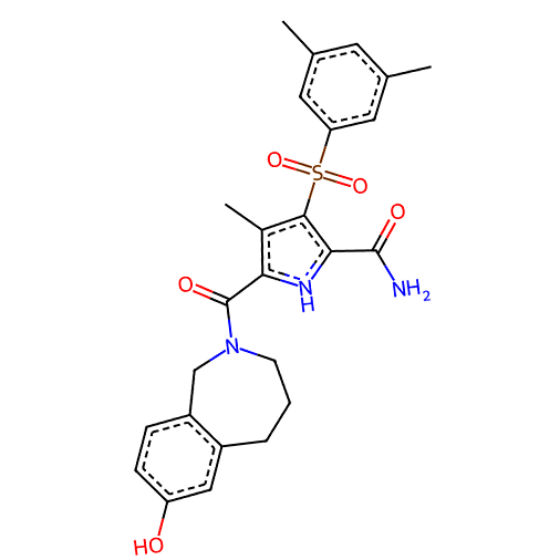 Cc1cc(C)cc(S(=O)(=O)c2c(C(N)=O)[nH]c(C(=O)N3CCCc4cc(O)ccc4C3)c2C)c1